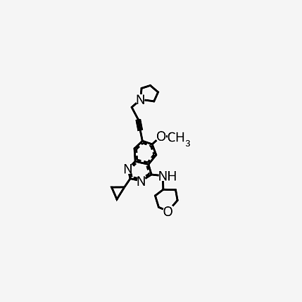 COc1cc2c(NC3CCOCC3)nc(C3CC3)nc2cc1C#CCN1CCCC1